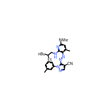 CCCCC(CC)CNc1nc(NC)cc(C)c1N=Nc1c(C#N)cnn1-c1cccc(C)c1